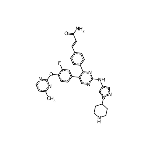 Cc1ccnc(Oc2ccc(-c3cnc(Nc4cnn(C5CCNCC5)c4)nc3-c3ccc(C=CC(N)=O)cc3)cc2F)n1